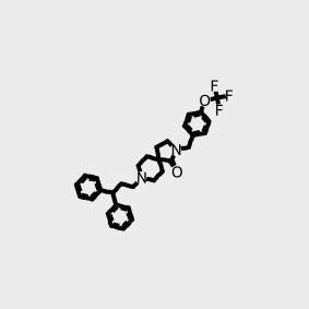 O=C1N(Cc2ccc(OC(F)(F)F)cc2)CCC12CCN(CCC(c1ccccc1)c1ccccc1)CC2